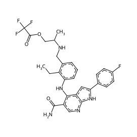 CCc1c(CNC(C)COC(=O)C(F)(F)F)cccc1Nc1c(C(N)=O)cnc2[nH]c(-c3ccc(F)cc3)cc12